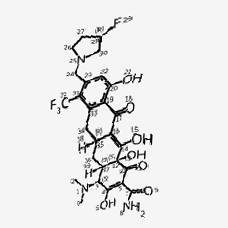 CN(C)[C@@H]1C(O)=C(C(N)=O)C(=O)[C@@]2(O)C(O)=C3C(=O)c4c(O)cc(CN5CC[C@@H](F)C5)c(C(F)(F)F)c4C[C@H]3C[C@@H]12